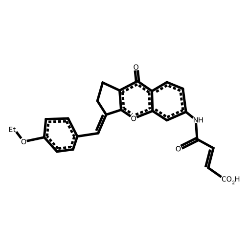 CCOc1ccc(C=C2CCc3c2oc2cc(NC(=O)C=CC(=O)O)ccc2c3=O)cc1